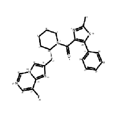 Cc1nc(C(=O)N2CCCC[C@H]2Cc2cn3cncc(F)c3n2)c(-c2ccccc2)s1